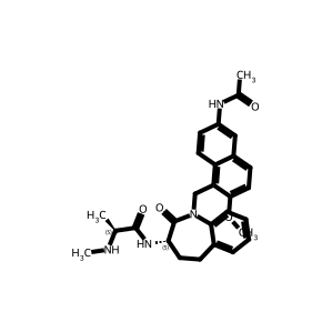 CN[C@@H](C)C(=O)N[C@H]1CCc2ccccc2N(Cc2c(OC)ccc3cc(NC(C)=O)ccc23)C1=O